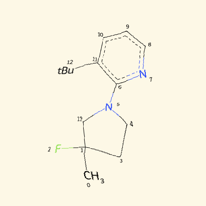 CC1(F)CCN(c2ncccc2C(C)(C)C)C1